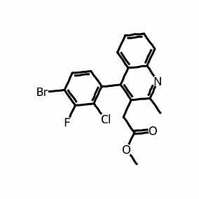 COC(=O)Cc1c(C)nc2ccccc2c1-c1ccc(Br)c(F)c1Cl